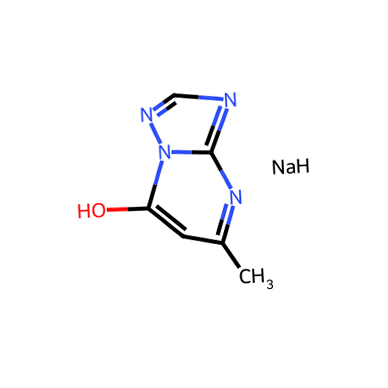 Cc1cc(O)n2ncnc2n1.[NaH]